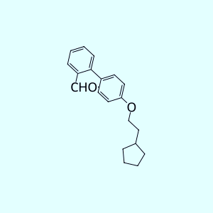 O=[C]c1ccccc1-c1ccc(OCCC2CCCC2)cc1